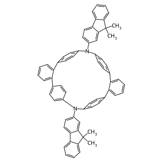 CC1(C)c2ccccc2-c2ccc(N3c4ccc(cc4)-c4ccccc4-c4ccc(cc4)N(c4ccc5c(c4)C(C)(C)c4ccccc4-5)c4ccc(cc4)-c4ccccc4-c4ccc3cc4)cc21